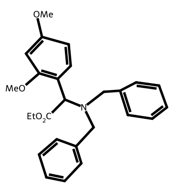 CCOC(=O)C(c1ccc(OC)cc1OC)N(Cc1ccccc1)Cc1ccccc1